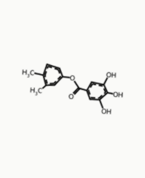 Cc1ccc(OC(=O)c2cc(O)c(O)c(O)c2)cc1C